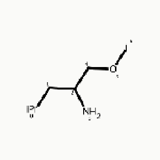 CC(C)CC(N)COI